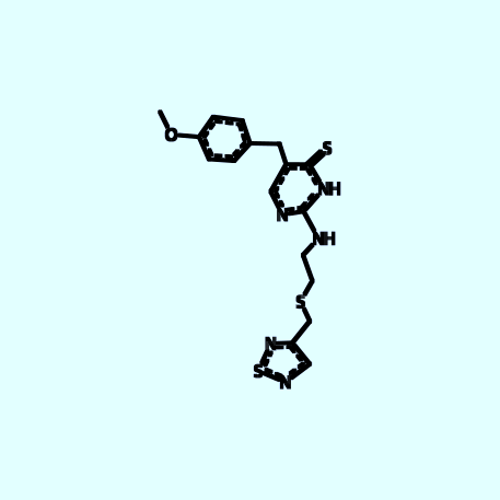 COc1ccc(Cc2cnc(NCCSCc3cnsn3)[nH]c2=S)cc1